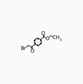 CCOC(=O)c1ccc(C(=O)CBr)cc1